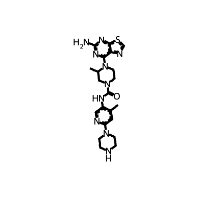 Cc1cc(N2CCNCC2)ncc1NC(=O)N1CCN(c2nc(N)nc3scnc23)C(C)C1